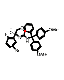 COc1ccc(C(NC2=N[C@@](C)(c3cc(Br)ccc3F)COC2)(c2ccccc2)c2ccc(OC)cc2)cc1